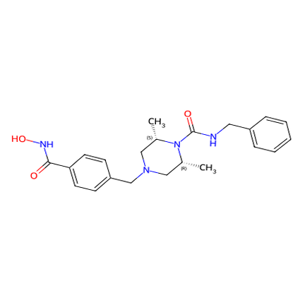 C[C@@H]1CN(Cc2ccc(C(=O)NO)cc2)C[C@H](C)N1C(=O)NCc1ccccc1